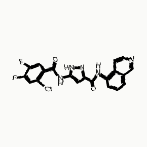 O=C(Nc1cccc2cnccc12)c1cc(NC(=O)c2cc(F)c(F)cc2Cl)[nH]n1